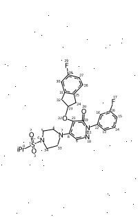 CC(C)S(=O)(=O)N1CCN(c2cnn(-c3cccc(F)c3)c(=O)c2OC2Cc3ccc(F)cc3C2)CC1